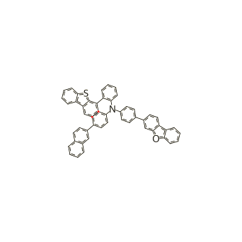 c1ccc(N(c2ccc(-c3ccc4ccccc4c3)cc2)c2ccc(-c3ccc4c(c3)oc3ccccc34)cc2)c(-c2cccc3c2sc2ccccc23)c1